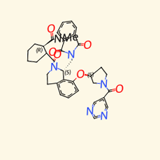 CNC(=O)[C@@H]1CCCCC1C(=O)N1CCc2cccc(O[C@H]3CCN(C(=O)c4cncnc4)C3)c2[C@H]1CN1C(=O)c2ccccc2C1=O